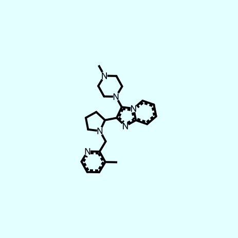 Cc1cccnc1CN1CCCC1c1nc2ccccn2c1N1CCN(C)CC1